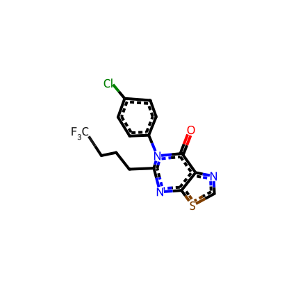 O=c1c2ncsc2nc(CCCC(F)(F)F)n1-c1ccc(Cl)cc1